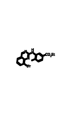 CCOC(=O)c1ccc(C)c(Nc2ncc3cccc(C(C)C)c3n2)c1